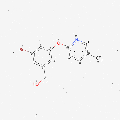 OCc1cc(Br)cc(Oc2ccc(C(F)(F)F)cn2)c1